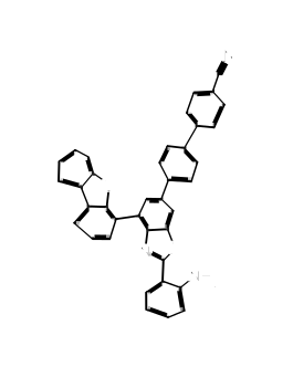 N#Cc1ccc(-c2ccc(-c3cc(-c4cccc5c4oc4ccccc45)c4nc(-c5ccccc5N)sc4c3)cc2)cc1